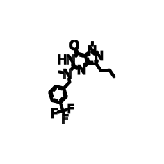 CCCc1nn(C)c2c(=O)[nH]c(N(C)Cc3cccc(C(F)(F)F)c3)nc12